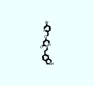 O=c1cc(OCc2ccc(Br)cn2)cnn1CCc1ccc2c(c1)CNC2